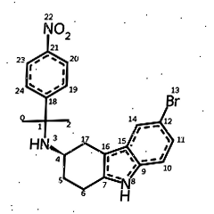 CC(C)(N[C@@H]1CCc2[nH]c3ccc(Br)cc3c2C1)c1ccc([N+](=O)[O-])cc1